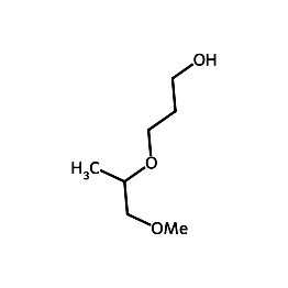 COCC(C)OCCCO